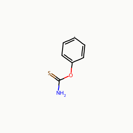 NC(=S)Oc1cc[c]cc1